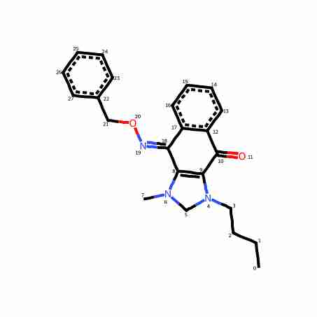 CCCCN1CN(C)C2=C1C(=O)c1ccccc1C2=NOCc1ccccc1